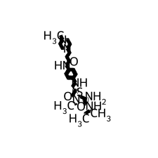 CCC(C)NC(=O)[C@@H](N)C1S[C@H](CNc2ccc(NC(=O)CCN3CCN(C)CC3)cc2)C(=O)N1CC